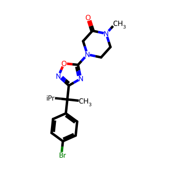 CC(C)C(C)(c1ccc(Br)cc1)c1noc(N2CCN(C)C(=O)C2)n1